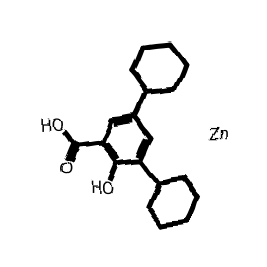 O=C(O)c1cc(C2CCCCC2)cc(C2CCCCC2)c1O.[Zn]